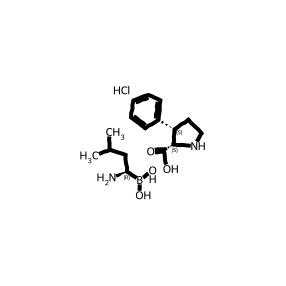 CC(C)C[C@H](N)B(O)O.Cl.O=C(O)[C@H]1NCC[C@H]1c1ccccc1